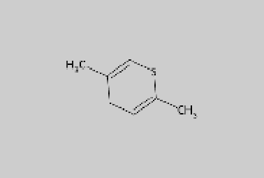 CC1=CSC(C)=CC1